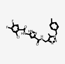 Cc1ccc(Cn2nnc(CNC(=O)c3cc(NC(=O)c4cc(F)c(F)cc4Cl)[nH]n3)c2C)cc1